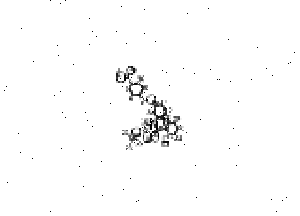 COC(=O)c1ccc(COc2cccc(N(CC(=O)OC(C)(C)C)C(=O)c3c(F)cccc3F)c2)cc1